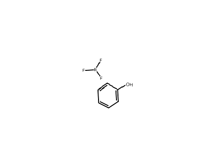 FB(F)F.Oc1ccccc1